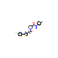 Cc1ccc(NC(=O)C2CCCN(C(=O)C(C)(C)c3csc(-c4ccc(F)cc4)n3)C2)cc1